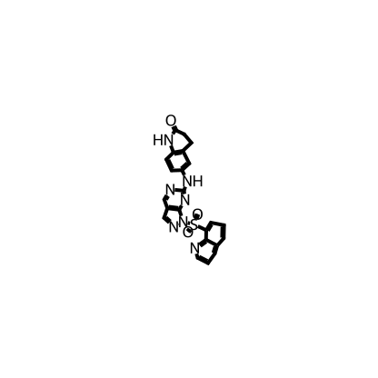 O=C1CCc2cc(Nc3ncc4cnn(S(=O)(=O)c5cccc6cccnc56)c4n3)ccc2N1